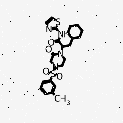 Cc1cccc(S(=O)(=O)N2CCN(C(CC3CCCCC3)C(=O)Nc3nccs3)C(=O)C2)c1